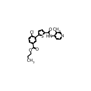 CCCOC(=O)c1ccc(Cl)c(-c2ccc(C(=O)Nc3ccncc3C)s2)c1